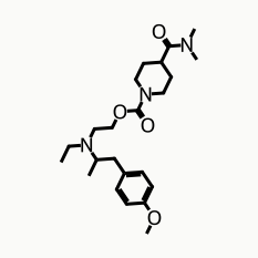 CCN(CCOC(=O)N1CCC(C(=O)N(C)C)CC1)C(C)Cc1ccc(OC)cc1